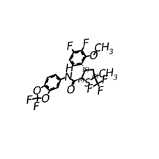 COc1c([C@@H]2C[C@](C)(C(F)(F)F)S[C@H]2C(=O)Nc2ccc3c(c2)OC(F)(F)O3)ccc(F)c1F